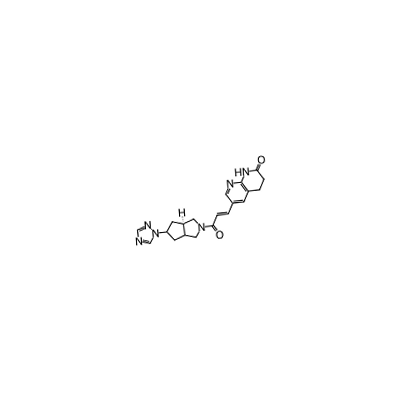 O=C1CCc2cc(/C=C/C(=O)N3CC4CC(n5cncn5)C[C@H]4C3)cnc2N1